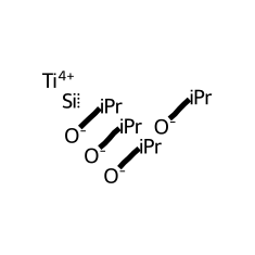 CC(C)[O-].CC(C)[O-].CC(C)[O-].CC(C)[O-].[Si].[Ti+4]